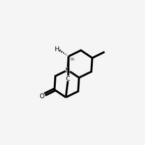 CC1CC2CC3C[C@H](C1)N2CC3=O